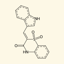 O=C1Nc2ccccc2S(=O)(=O)C1=Cc1c[nH]c2ccccc12